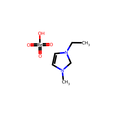 CCN1C=CN(C)C1.[O]=[Re](=[O])(=[O])[OH]